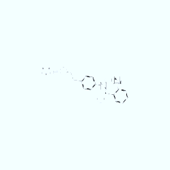 COCCc1ccc(N(O)C(=O)c2ccccc2C(C)=O)cc1